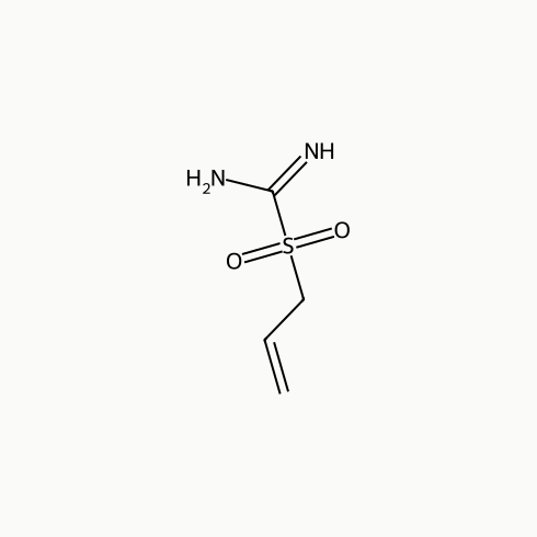 C=CCS(=O)(=O)C(=N)N